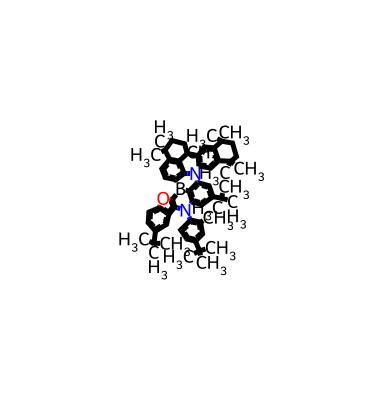 Cc1cc(C(C)(C)C)ccc1N1c2cc(C(C)(C)C)cc3c2B(c2ccc4c5c2N3c2cc3c(cc2C5(C)CCC4(C)C)C(C)(C)CCC3(C)C)c2oc3ccc(C(C)(C)C)cc3c21